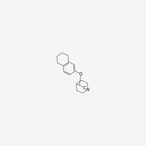 c1cc2c(cc1OC1CN3CCC1CC3)CCCC2